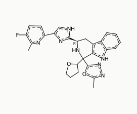 Cc1nnc(C2(C3CCCO3)N[C@@H](c3nc(-c4ccc(F)c(C)n4)c[nH]3)Cc3c2[nH]c2ccccc32)o1